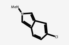 CNn1cc2ccc(Cl)cc2c1